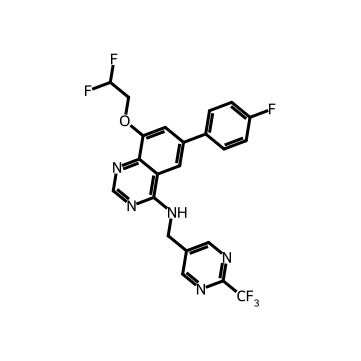 Fc1ccc(-c2cc(OCC(F)F)c3ncnc(NCc4cnc(C(F)(F)F)nc4)c3c2)cc1